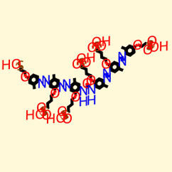 Cc1cc(OCCSO)ccc1N=Nc1cc(OCCCCS(=O)(=O)O)c(N=Nc2cc(OCCCCS(=O)(=O)O)c(NC(=O)Nc3cc(C)c(N=Nc4cc(C)c(N=Nc5ccc(OCCS(=O)(=O)O)cc5C)cc4OCCCCS(=O)(=O)O)cc3OCCCCS(=O)(=O)O)cc2C)cc1C